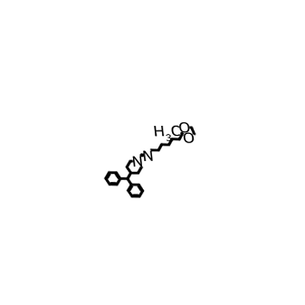 CC1(CCCCCCN=CN2CCC(C(c3ccccc3)c3ccccc3)CC2)OCCO1